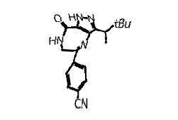 CC(c1n[nH]c2c1N=C(c1ccc(C#N)cc1)CNC2=O)C(C)(C)C